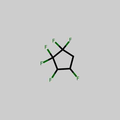 FC1CC(F)(F)C(F)(F)C1F